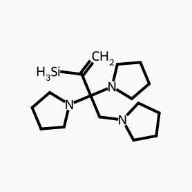 C=C([SiH3])C(CN1CCCC1)(N1CCCC1)N1CCCC1